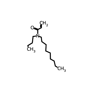 C=CC(=O)N(CCCC)CCCCCCCCC